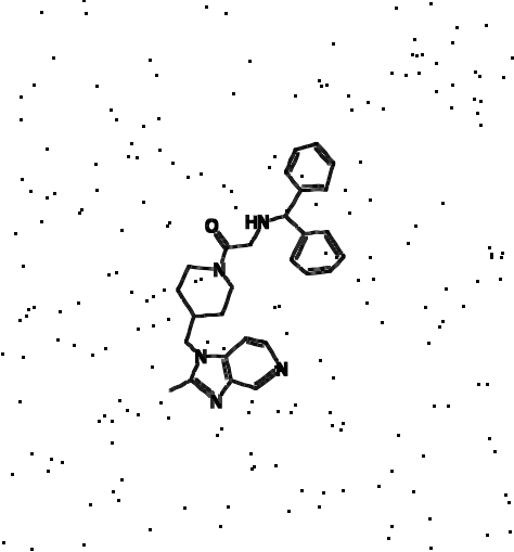 Cc1nc2cnccc2n1CC1CCN(C(=O)CNC(c2ccccc2)c2ccccc2)CC1